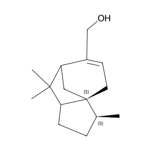 C[C@H]1CCC2C(C)(C)C3C[C@@]21CC=C3CO